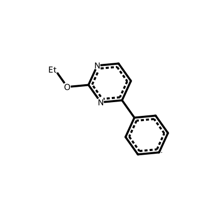 CCOc1nccc(-c2cc[c]cc2)n1